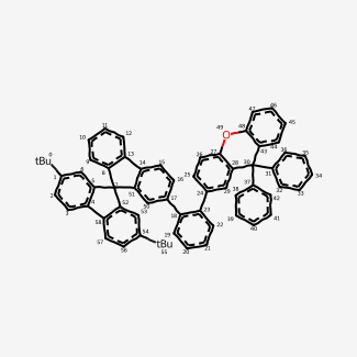 CC(C)(C)c1ccc2c(c1)C1(c3ccccc3-c3ccc(-c4ccccc4-c4ccc5c(c4)C(c4ccccc4)(c4ccccc4)c4ccccc4O5)cc31)c1cc(C(C)(C)C)ccc1-2